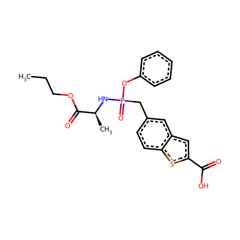 CCCOC(=O)[C@H](C)NP(=O)(Cc1ccc2sc(C(=O)O)cc2c1)Oc1ccccc1